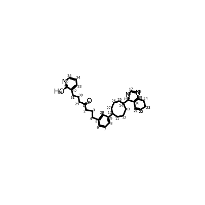 O=C(CCCc1cccc(C2CCCC(c3ncnc4c3C=CCC4)CCC2)c1)CCCc1cccnc1O